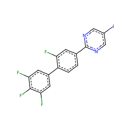 Fc1cc(-c2ncc(I)cn2)ccc1-c1cc(F)c(F)c(F)c1